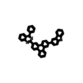 c1ccc(-c2nc(-c3ccc4c5ccccc5c5cc(-c6ccc7sc8ccccc8c7c6)ccc5c4c3)nc3ccccc23)cc1